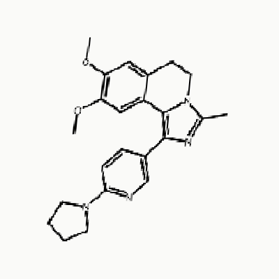 COc1cc2c(cc1OC)-c1c(-c3ccc(N4CCCC4)nc3)nc(C)n1CC2